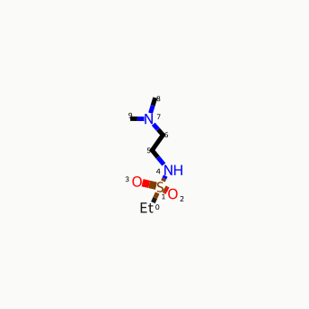 CCS(=O)(=O)NCCN(C)C